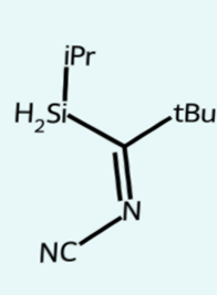 CC(C)[SiH2]/C(=N\C#N)C(C)(C)C